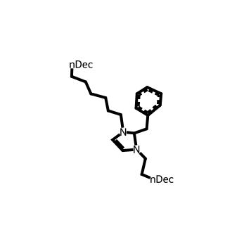 CCCCCCCCCCCCCCCCN1C=CN(CCCCCCCCCCCC)C1Cc1ccccc1